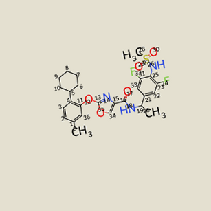 Cc1ccc(C2CCCCC2)c(Oc2nc(C(=O)NC(C)c3cc(F)c(NS(C)(=O)=O)c(F)c3)co2)c1